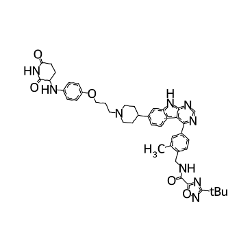 Cc1cc(-c2ncnc3[nH]c4cc(C5CCN(CCCOc6ccc(NC7CCC(=O)NC7=O)cc6)CC5)ccc4c23)ccc1CNC(=O)c1nc(C(C)(C)C)no1